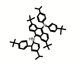 CC(C)C1=CC(c2ccc(C(C)(C)C)cc2)C(Nc2c3cc(C(C)(C)C)ccc3c(N(c3ccc(C(C)C)cc3)c3ccc(C(C)(C)C)cc3)c3cc(C(C)(C)C)ccc23)C=C1